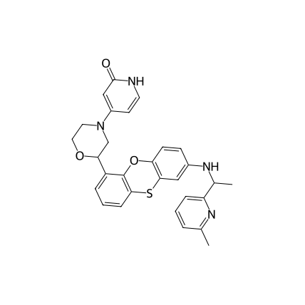 Cc1cccc(C(C)Nc2ccc3c(c2)Sc2cccc(C4CN(c5cc[nH]c(=O)c5)CCO4)c2O3)n1